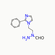 NN(C=O)CCn1ccnc1-c1ccccc1